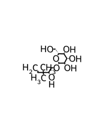 C=CC(C)(C)[C@H](O)CO[C@@H]1O[C@H](CO)[C@H](O)[C@H](O)[C@H]1O